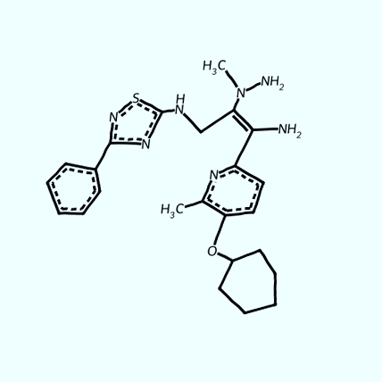 Cc1nc(/C(N)=C(\CNc2nc(-c3ccccc3)ns2)N(C)N)ccc1OC1CCCCC1